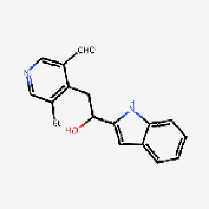 CCc1cncc(C=O)c1CC(O)c1cc2ccccc2[nH]1